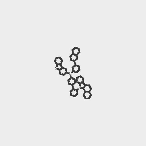 C1=CC2C=Cc3c(n(-c4ccccc4-c4ccc(N(c5cccc(-c6ccc7ccccc7c6)c5)c5ccc6sc7ccccc7c6c5)cc4)c4ccccc34)C2C=C1